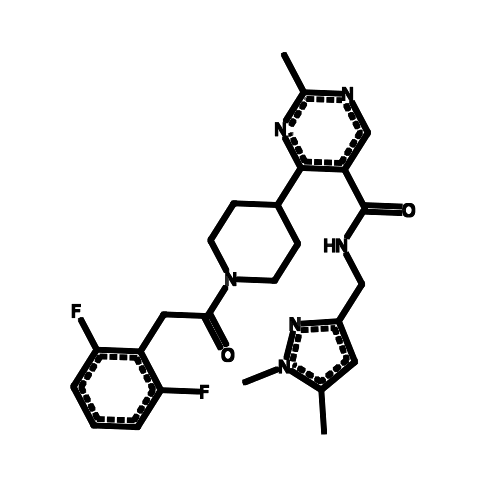 Cc1ncc(C(=O)NCc2cc(C)n(C)n2)c(C2CCN(C(=O)Cc3c(F)cccc3F)CC2)n1